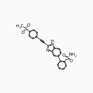 CS(=O)(=O)c1ccc(C#Cc2nc3cc(-c4ccccc4S(N)(=O)=O)ccc3[nH]2)cc1